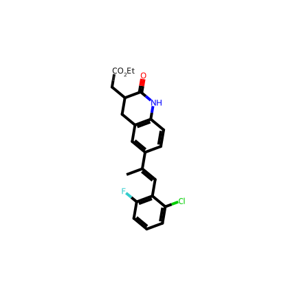 CCOC(=O)CC1Cc2cc(/C(C)=C/c3c(F)cccc3Cl)ccc2NC1=O